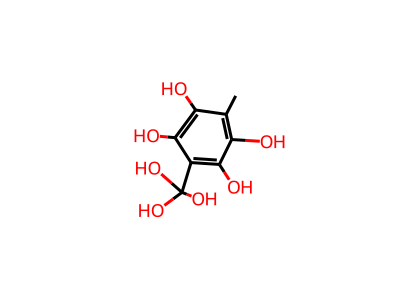 Cc1c(O)c(O)c(C(O)(O)O)c(O)c1O